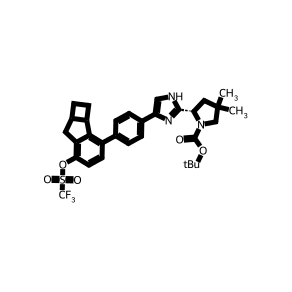 CC1(C)C[C@@H](c2nc(-c3ccc(-c4ccc(OS(=O)(=O)C(F)(F)F)c5c4C4CCC4C5)cc3)c[nH]2)N(C(=O)OC(C)(C)C)C1